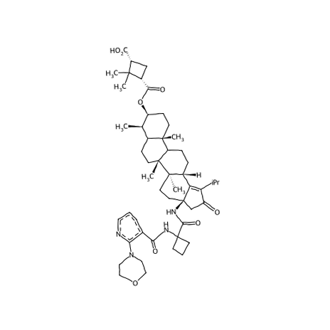 CC(C)C1=C2[C@H]3CCC4[C@@]5(C)CC[C@H](OC(=O)[C@H]6C[C@@H](C(=O)O)C6(C)C)[C@H](C)C5CC[C@@]4(C)[C@]3(C)CC[C@@]2(NC(=O)C2(NC(=O)c3cccnc3N3CCOCC3)CCC2)CC1=O